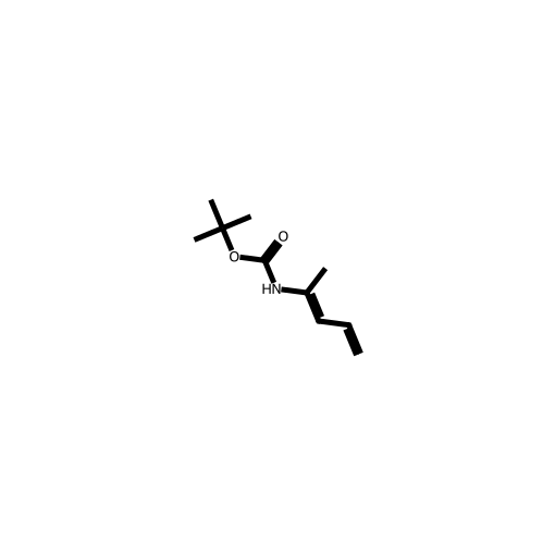 C=C/C=C(\C)NC(=O)OC(C)(C)C